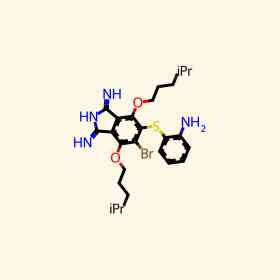 CC(C)CCCOc1c(Br)c(Sc2ccccc2N)c(OCCCC(C)C)c2c1C(=N)NC2=N